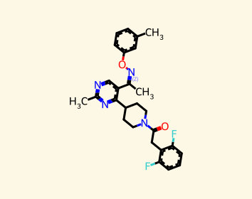 C/C(=N/Oc1cccc(C)c1)c1cnc(C)nc1C1CCN(C(=O)Cc2c(F)cccc2F)CC1